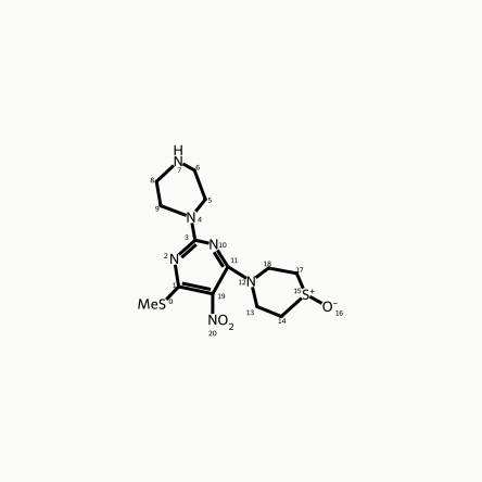 CSc1nc(N2CCNCC2)nc(N2CC[S+]([O-])CC2)c1[N+](=O)[O-]